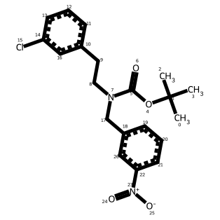 CC(C)(C)OC(=O)N(CCc1cccc(Cl)c1)Cc1cccc([N+](=O)[O-])c1